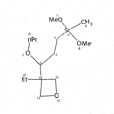 CCCOC(CC[Si](C)(OC)OC)C1(CC)COC1